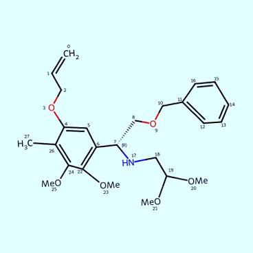 C=CCOc1cc([C@H](COCc2ccccc2)NCC(OC)OC)c(OC)c(OC)c1C